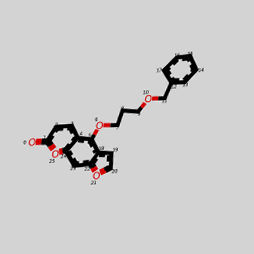 O=c1ccc2c(OCCCOCc3ccccc3)c3ccoc3cc2o1